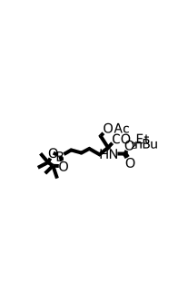 CCCCOC(=O)NC(CCCCB1OC(C)(C)C(C)(C)O1)(COC(C)=O)C(=O)OCC